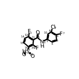 O=C(Nc1ccc(F)c(Cl)c1)c1c(F)ccc([SH](=O)=O)c1F